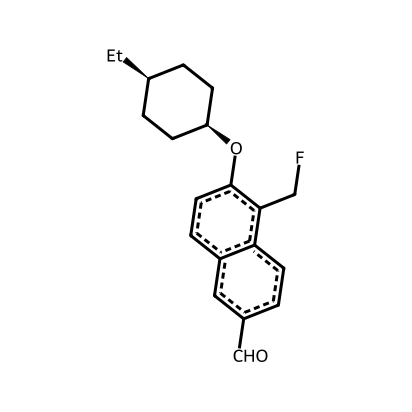 CC[C@H]1CC[C@@H](Oc2ccc3cc(C=O)ccc3c2CF)CC1